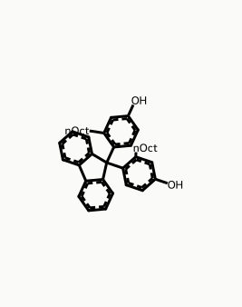 CCCCCCCCc1cc(O)ccc1C1(c2ccc(O)cc2CCCCCCCC)c2ccccc2-c2ccccc21